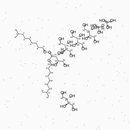 CC(C)CCCCCCCOOC(OCCCCCCCC(C)C)[C@H](O)[C@H](O)CO.OC[C@@H](O)[C@@H](O)CO.OC[C@@H](O)[C@@H](O)CO.OC[C@@H](O)[C@@H](O)CO.OC[C@@H](O)[C@@H](O)CO.OP(O)O.OP(O)O